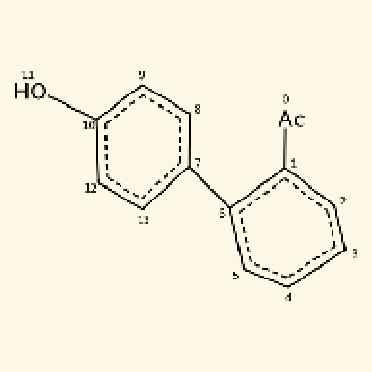 CC(=O)c1ccccc1-c1ccc(O)cc1